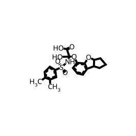 Cc1ccc(S(=O)(=O)NC(O)(Oc2cccc3c2OC2CCCC32)C(=O)O)cc1C